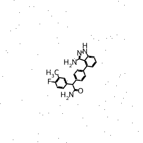 Cc1cc(C(C(N)=O)c2ccc(-c3cccc4[nH]nc(N)c34)cc2)ccc1F